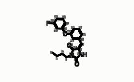 CCCCN1C(=O)NC(=Cc2cccc(Oc3cccc(F)c3)c2)C1=O